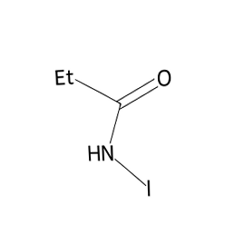 CCC(=O)NI